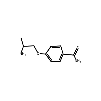 CC(N)COc1ccc(C(N)=O)cc1